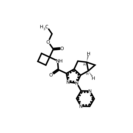 CCOC(=O)C1(NC(=O)c2nn(-c3cnccn3)c3c2C[C@H]2C[C@@H]32)CCC1